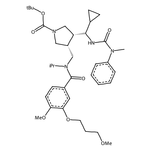 COCCCOc1cc(C(=O)N(C[C@@H]2CN(C(=O)OC(C)(C)C)C[C@@H]2C(NC(=O)N(C)c2ccccc2)C2CC2)C(C)C)ccc1OC